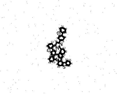 c1ccc(-c2nc(-c3ccc4c(c3)oc3ccccc34)cc(-c3cccc4oc5ccc(-c6cccc7c8c9c(ccc8n(-c8ccccc8)c67)sc6ccccc69)cc5c34)n2)cc1